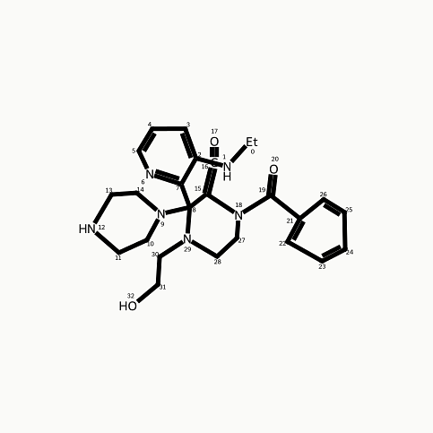 CCNc1cccnc1C1(N2CCNCC2)C(=C=O)N(C(=O)c2ccccc2)CCN1CCO